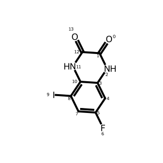 O=c1[nH]c2cc(F)cc(I)c2[nH]c1=O